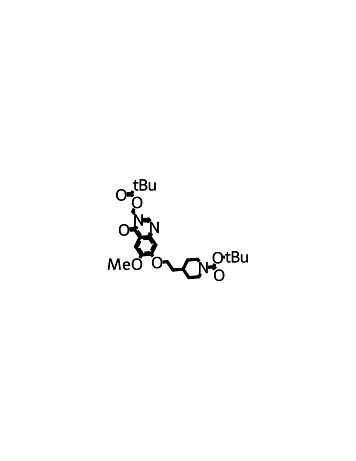 COc1cc2c(=O)n(COC(=O)C(C)(C)C)cnc2cc1OCCC1CCN(C(=O)OC(C)(C)C)CC1